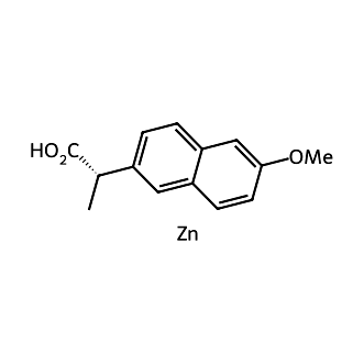 COc1ccc2cc([C@H](C)C(=O)O)ccc2c1.[Zn]